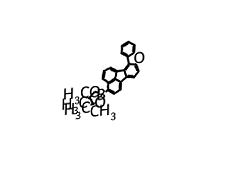 CC1(C)OB(c2ccc3c4c(cccc24)-c2c-3ccc3oc4ccccc4c23)OC1(C)C